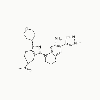 CC(=O)N1CCc2c(c(N3CCCc4cc(-c5cnn(C)c5)c(N)cc43)nn2C2CCOCC2)C1